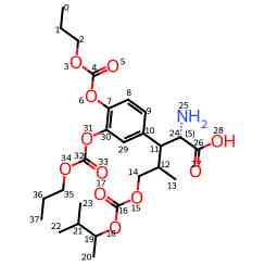 CCCOC(=O)Oc1ccc(C(C(C)COC(=O)OC(C)C(C)C)[C@H](N)C(=O)O)cc1OC(=O)OCCC